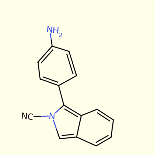 N#Cn1cc2ccccc2c1-c1ccc(N)cc1